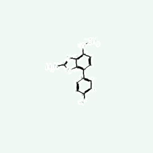 COc1ccc(-c2ccc(F)cc2)c2oc(N)nc12